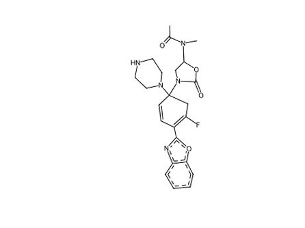 CC(=O)N(C)C1CN(C2(N3CCNCC3)C=CC(c3nc4ccccc4o3)=C(F)C2)C(=O)O1